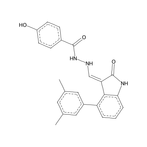 Cc1cc(C)cc(-c2cccc3c2C(=CNNC(=O)c2ccc(O)cc2)C(=O)N3)c1